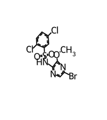 COc1nc(Br)cnc1NS(=O)(=O)c1cc(Cl)ccc1Cl